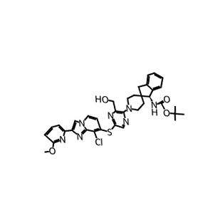 COc1cccc(-c2cn3ccc(Sc4cnc(N5CCC6(CC5)Cc5ccccc5[C@H]6NC(=O)OC(C)(C)C)c(CO)n4)c(Cl)c3n2)n1